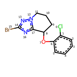 Clc1ccccc1OC1CCCn2nc(Br)nc21